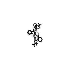 CC(C)=C(F)Cn1c(CN2C(=O)C3(CN(C(=O)OC(C)C)C3)c3ccccc32)nc2c1CCCC2